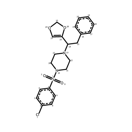 O=S(=O)(c1ccc(Cl)cc1)N1CCN(C(Cc2ccccc2)C2=COCO2)CC1